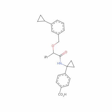 CC(C)C(OCc1cccc(C2CC2)c1)C(=O)NC1(c2ccc(C(=O)O)cc2)CC1